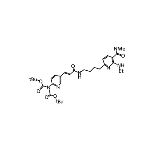 CCNc1nc(CCCCNC(=O)C=Cc2ccc(N(C(=O)OC(C)(C)C)C(=O)OC(C)(C)C)nc2)ccc1C(=O)NC